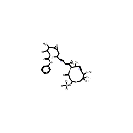 CCC(OC(=O)Nc1ccccc1)C(C)C1OC1CC(C)/C=C/C=C(\C)C1OC(=O)CC(O[Si](CC)(CC)CC)CCC(C)(O)C(OC(C)=O)/C=C/C1C